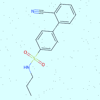 CCCNS(=O)(=O)c1ccc(-c2ccccc2C#N)cc1